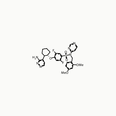 COc1ccc(CN(c2ccncn2)S(=O)(=O)c2cc(F)c(O[C@H]3CCCCC3c3ccnnc3N)cc2F)c(OC)c1